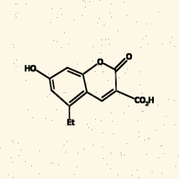 CCc1cc(O)cc2oc(=O)c(C(=O)O)cc12